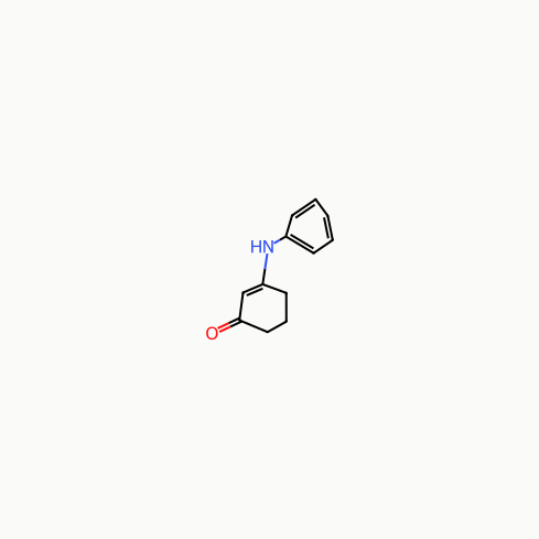 O=C1C=C(Nc2ccccc2)CCC1